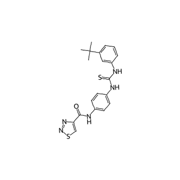 CC(C)(C)c1cccc(NC(=S)Nc2ccc(NC(=O)c3csnn3)cc2)c1